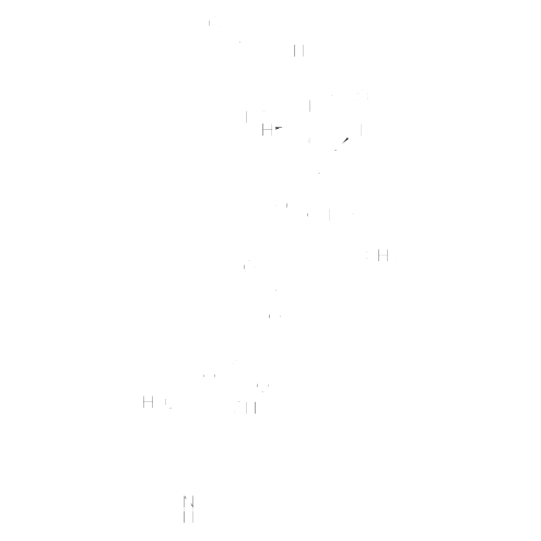 C[C@H](CCC(=O)OCC(=O)OC(C)(C)C1CCNCC1)[C@H]1CC[C@H]2[C@@H]3C(=O)C[C@@H]4CC(=O)CC[C@]4(C)[C@H]3CC(=O)[C@]12C